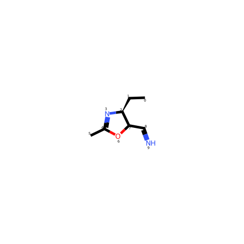 CC[C@@H]1N=C(C)OC1C=N